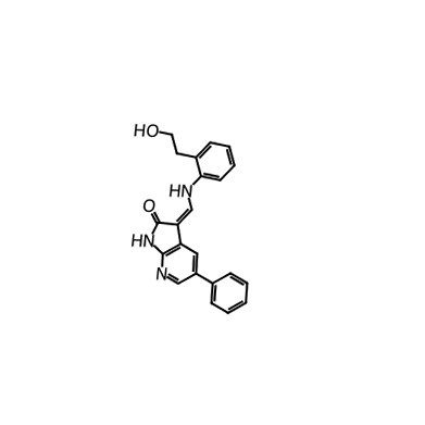 O=C1Nc2ncc(-c3ccccc3)cc2C1=CNc1ccccc1CCO